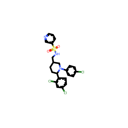 O=S(=O)(NCC1CCC(c2ccc(Cl)cc2Cl)N(c2ccc(Cl)cc2)C1)c1cccnc1